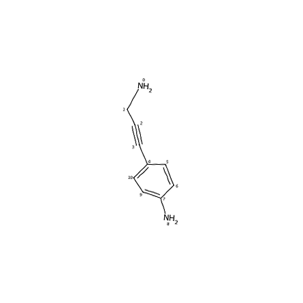 NCC#Cc1ccc(N)cc1